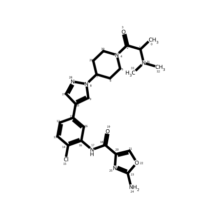 CC(C(=O)N1CCC(n2cc(-c3ccc(Cl)c(NC(=O)c4coc(N)n4)c3)cn2)CC1)N(C)C